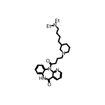 CCN(CC)CCCCC1CCCN(CCCC(=O)N2c3ccccc3NC(=O)c3cccnc32)C1